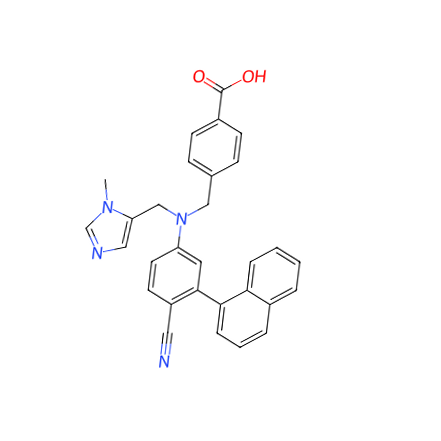 Cn1cncc1CN(Cc1ccc(C(=O)O)cc1)c1ccc(C#N)c(-c2cccc3ccccc23)c1